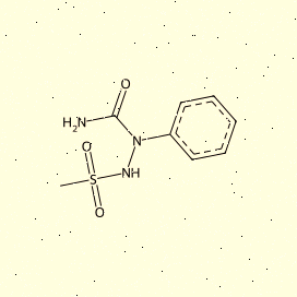 CS(=O)(=O)NN(C(N)=O)c1ccccc1